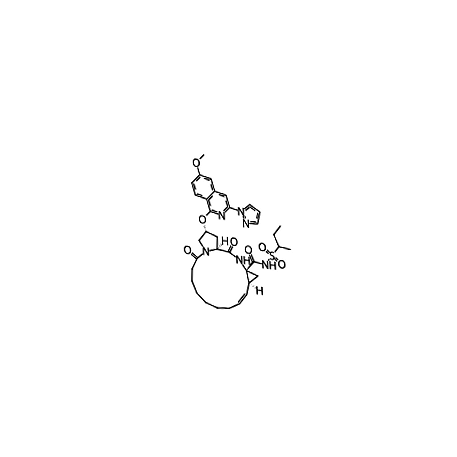 CCC(C)S(=O)(=O)NC(=O)[C@@]12C[C@H]1/C=C\CCCCCCC(=O)N1C[C@H](Oc3nc(-n4cccn4)cc4cc(OC)ccc34)C[C@H]1C(=O)N2